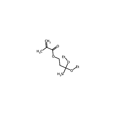 C=C(C)C(=O)OCCC([SiH3])(OCC)OCC